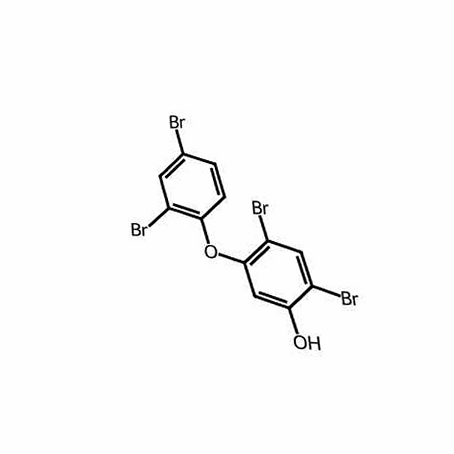 Oc1cc(Oc2ccc(Br)cc2Br)c(Br)cc1Br